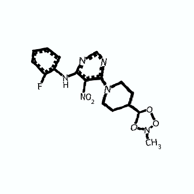 CN1OOC(C2CCN(c3ncnc(Nc4ccccc4F)c3[N+](=O)[O-])CC2)O1